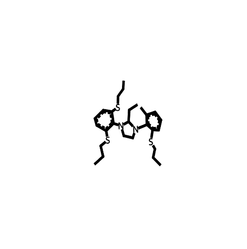 CCCSc1cccc(C)c1N1CCN(c2c(SCCC)cccc2SCCC)C1CC